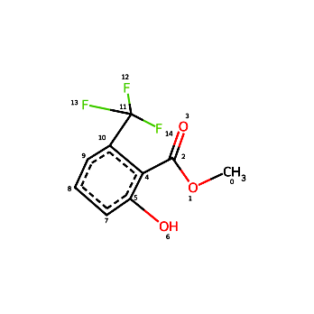 COC(=O)c1c(O)cccc1C(F)(F)F